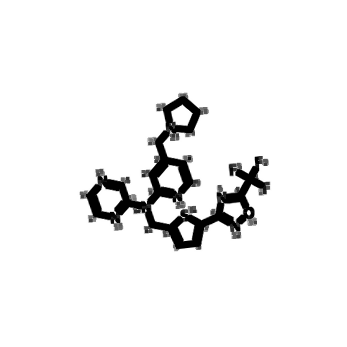 FC(F)(F)c1nc(-c2ccc(CN(c3cnccn3)c3cc(CN4CCCC4)ccn3)s2)no1